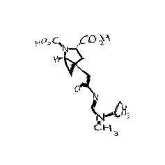 CN(C)C=NC(=O)C[C@@]12C[C@@H]1N(C(=O)O)[C@H](C(=O)O)C2